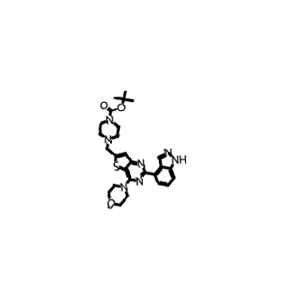 CC(C)(C)OC(=O)N1CCN(Cc2cc3nc(-c4cccc5[nH]ncc45)nc(N4CCOCC4)c3s2)CC1